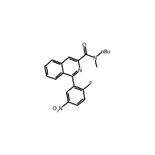 CCCCN(C)C(=O)c1cc2ccccc2c(-c2cc([N+](=O)[O-])ccc2F)n1